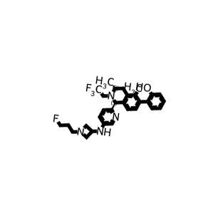 Cc1c(-c2ccccc2O)ccc2c1C[C@@H](C)N(CC(F)(F)F)[C@@H]2c1ccc(NC2CN(CCCF)C2)cn1